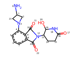 NC1CN(c2cccc3c2C(=O)N(C2CCC(=O)NC2O)C3=O)C1